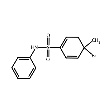 CC1(Br)C=CC(S(=O)(=O)Nc2ccccc2)=CC1